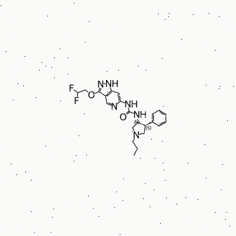 CCCN1C[C@H](NC(=O)Nc2cc3[nH]nc(OCC(F)F)c3cn2)[C@@H](c2ccccc2)C1